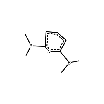 CB(C)c1cccc(B(C)C)n1